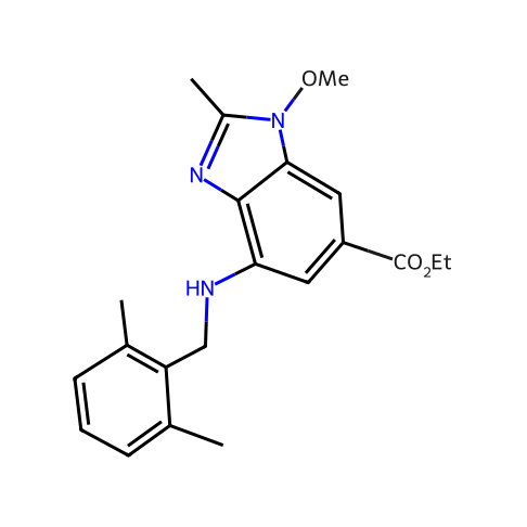 CCOC(=O)c1cc(NCc2c(C)cccc2C)c2nc(C)n(OC)c2c1